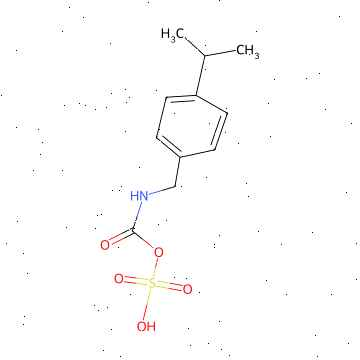 CC(C)c1ccc(CNC(=O)OS(=O)(=O)O)cc1